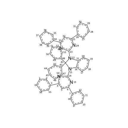 c1ccc(-c2cc(-c3ccccc3)nc(N3c4ccccc4N(c4nc(-c5ccccc5)cc(-c5ccccc5)n4)C3(c3ccccc3)c3ccccc3)n2)cc1